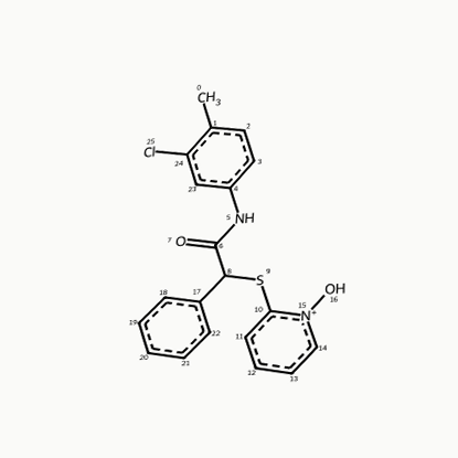 Cc1ccc(NC(=O)C(Sc2cccc[n+]2O)c2ccccc2)cc1Cl